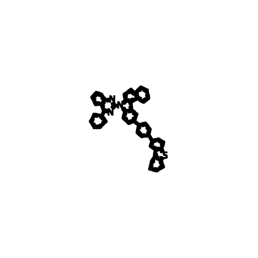 c1ccc(-c2nc(-n3c4ccc(-c5ccc(-c6ccc7sc8ccccc8c7c6)cc5)cc4c4c5ccccc5ccc43)nc3ccccc23)cc1